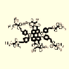 C=C(C)C(=O)OCCc1ccc(Oc2cc3c4c(cc(Oc5ccc(CCOC(=O)C(=C)C)cc5)c5c6c(Oc7ccc(CCOC(=O)C(=C)C)cc7)cc7c8c(cc(Oc9ccc(CCOC(=O)C(=C)C)cc9)c(c2c45)c86)C(=O)N(C(CC(C)C)C(=O)OCCC)C7=O)C(=O)N(C(CC(C)C)C(=O)OCCC)C3=O)cc1